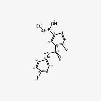 CCOB(O)c1ccc(C)c(C(=O)Nc2ccc(F)cc2)c1